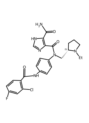 CCN1CCC[C@H]1CN(C(=O)c1nc[nH]c1C(N)=O)c1ccc(NC(=O)c2ccc(F)cc2Cl)cc1